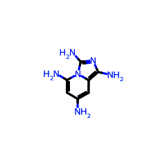 Nc1cc(N)n2c(N)nc(N)c2c1